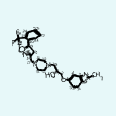 Cc1nc2cc(OC[C@H](O)CN3CCN(CC4=NOC(c5ccccc5C(F)(F)F)C4)CC3)ccc2s1